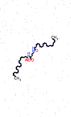 CC/C=C\C/C=C\C/C=C\C/C=C\C/C=C\C/C=C\CCC(=O)NCCC[C@H](NC(=O)CC/C=C\C/C=C\C/C=C\C/C=C\C/C=C\C/C=C\CC)C(=O)O